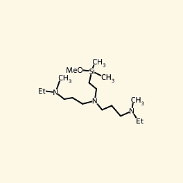 CCN(C)CCCN(CCCN(C)CC)CC[Si](C)(C)OC